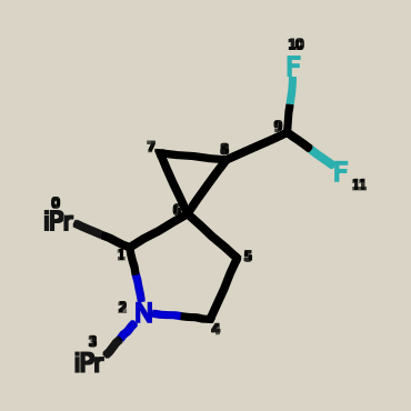 CC(C)C1N(C(C)C)CCC12CC2C(F)F